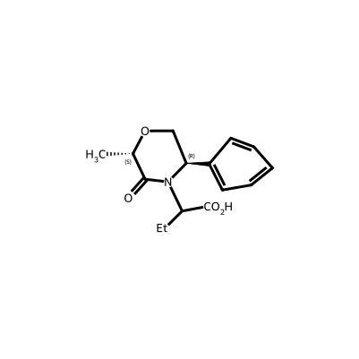 CCC(C(=O)O)N1C(=O)[C@H](C)OC[C@H]1c1ccccc1